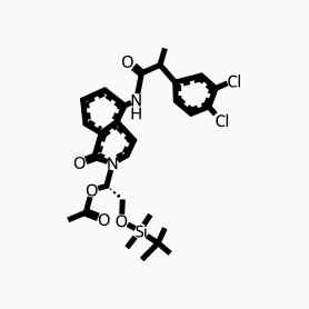 CC(=O)O[C@@H](CO[Si](C)(C)C(C)(C)C)n1ccc2c(NC(=O)C(C)c3ccc(Cl)c(Cl)c3)cccc2c1=O